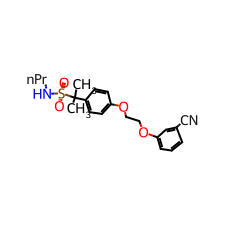 CCCNS(=O)(=O)C(C)(C)c1ccc(OCCOc2cccc(C#N)c2)cc1